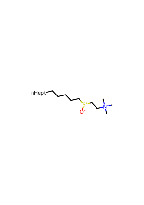 CCCCCCCCCCCC[S+]([O-])CC[N+](C)(C)C